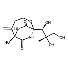 C=C1CCO[C@]2([C@@H](O)[C@@](C)(O)CO)NC(=O)[C@@]1(O)NC2=O